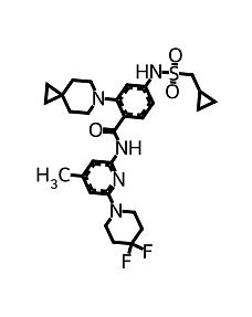 Cc1cc(NC(=O)c2ccc(NS(=O)(=O)CC3CC3)cc2N2CCC3(CC2)CC3)nc(N2CCC(F)(F)CC2)c1